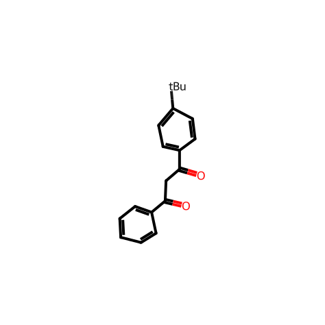 CC(C)(C)c1ccc(C(=O)CC(=O)c2ccccc2)cc1